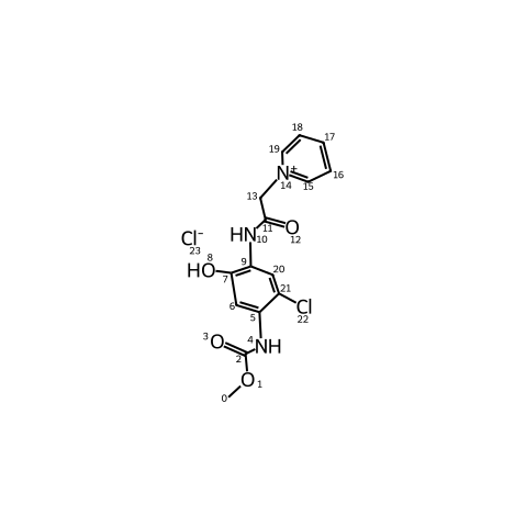 COC(=O)Nc1cc(O)c(NC(=O)C[n+]2ccccc2)cc1Cl.[Cl-]